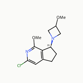 COc1nc(Cl)cc2c1[C@@H](N1CC(OC)C1)CC2